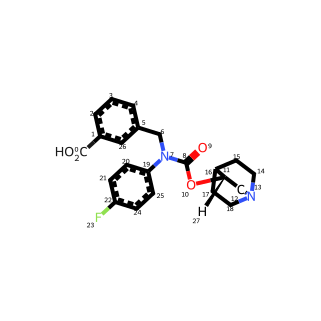 O=C(O)c1cccc(CN(C(=O)O[C@H]2CN3CCC2CC3)c2ccc(F)cc2)c1